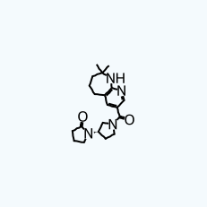 CC1(C)CCCc2cc(C(=O)N3CC[C@H](N4CCCC4=O)C3)cnc2N1